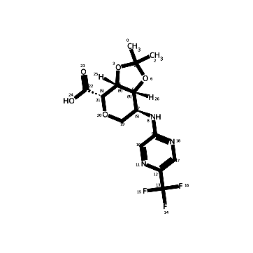 CC1(C)O[C@@H]2[C@H](O1)[C@@H](Nc1cnc(C(F)(F)F)cn1)CO[C@@H]2C(=O)O